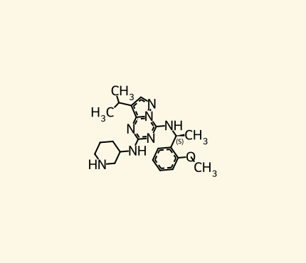 COc1ccccc1[C@H](C)Nc1nc(NC2CCCNC2)nc2c(C(C)C)cnn12